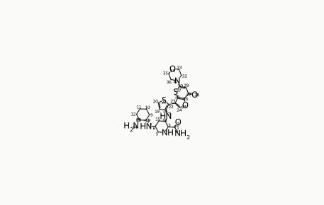 NC(=O)C1NCC(N[C@H]2CCCC[C@H]2N)CC1Nc1ccsc1-c1coc2c(=O)cc(N3CCOCC3)sc12